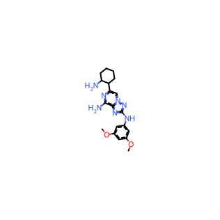 COc1cc(Nc2nc3c(N)nc(C4CCCCC4N)cn3n2)cc(OC)c1